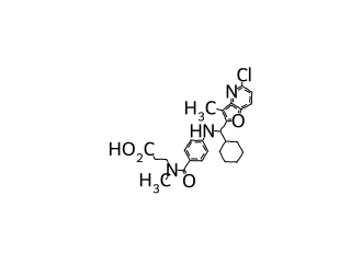 Cc1c(C(Nc2ccc(C(=O)N(C)CCC(=O)O)cc2)C2CCCCC2)oc2ccc(Cl)nc12